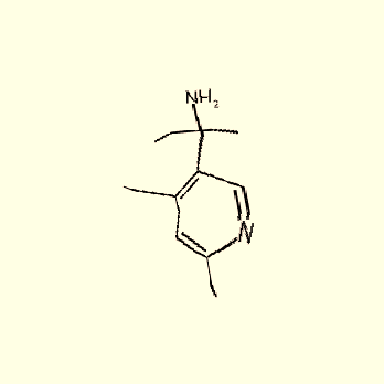 Cc1cc(C)c(C(C)(C)N)cn1